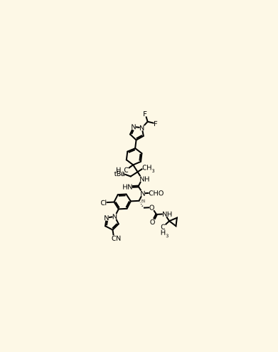 CC(C)(C)CC(C)(NC(=N)N(C=O)[C@H](COC(=O)NC1(C)CC1)c1ccc(Cl)c(-n2cc(C#N)cn2)c1)C1(C)C=CC(c2cnn(C(F)F)c2)=CC1